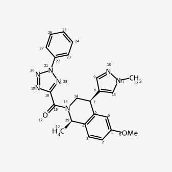 COc1ccc2c(c1)[C@H](c1cnn(C)c1)CN(C(=O)c1nnn(-c3ccccc3)n1)[C@@H]2C